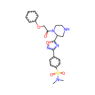 CN(C)S(=O)(=O)c1ccc(-c2noc(C3CNCCN3C(=O)COc3ccccc3)n2)cc1